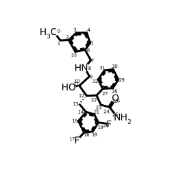 CCc1cccc(CNC[C@H](O)[C@@H](Cc2cc(F)cc(F)c2)C(CC(N)=O)c2ccccc2)c1